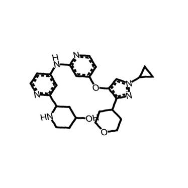 OC1CCNC(c2cc(Nc3cc(Oc4cn(C5CC5)nc4C4CCOCC4)ccn3)ccn2)C1